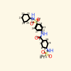 CC(C)S(=O)(=O)NC1CCC(C(=O)Nc2ccc(S(=O)(=O)NC3CCCCC3)cc2)CC1